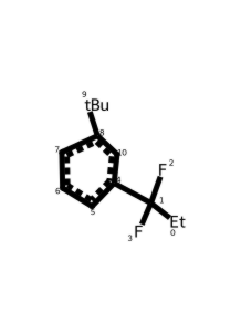 CCC(F)(F)c1cccc(C(C)(C)C)c1